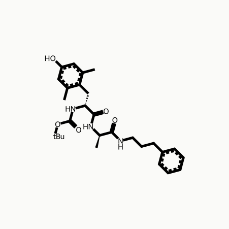 Cc1cc(O)cc(C)c1C[C@@H](NC(=O)OC(C)(C)C)C(=O)N[C@H](C)C(=O)NCCCc1ccccc1